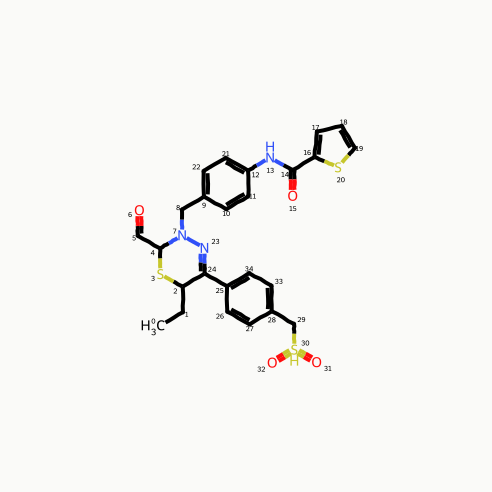 CCC1SC(C=O)N(Cc2ccc(NC(=O)c3cccs3)cc2)N=C1c1ccc(C[SH](=O)=O)cc1